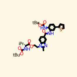 Cc1nc2cc(C(=O)Nc3cc(-c4cccs4)ccc3NC(=O)OC(C)(C)C)ccc2n1CCOC(=O)[C@H](NC(=O)OC(C)(C)C)C(C)C